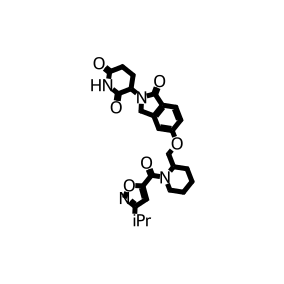 CC(C)c1cc(C(=O)N2CCCCC2COc2ccc3c(c2)CN(C2CCC(=O)NC2=O)C3=O)on1